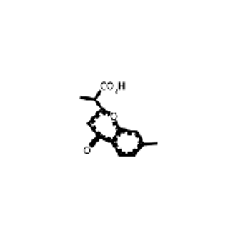 Cc1ccc2c(=O)cc(C(C)C(=O)O)oc2c1